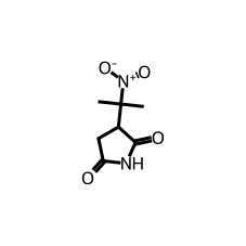 CC(C)(C1CC(=O)NC1=O)[N+](=O)[O-]